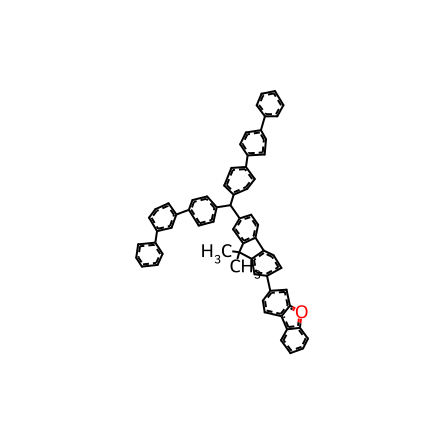 CC1(C)c2cc(-c3ccc4c(c3)oc3ccccc34)ccc2-c2ccc(C(c3ccc(-c4ccc(-c5ccccc5)cc4)cc3)c3ccc(-c4cccc(-c5ccccc5)c4)cc3)cc21